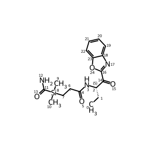 CC[C@H](NC(=O)[CH]C[Si](C)(C)C(N)=O)C(=O)c1nc2ccccc2o1